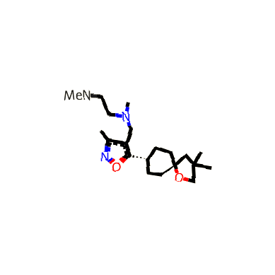 CNCCN(C)Cc1c(C)noc1[C@H]1CC[C@@]2(CC1)CC(C)(C)CO2